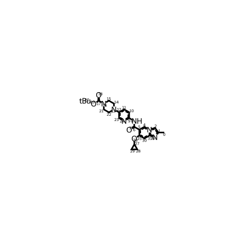 Cc1cn2cc(C(=O)Nc3ccc(N4CCN(C(=O)OC(C)(C)C)CC4)cn3)c(OC3CC3)cc2n1